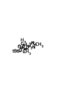 Cc1ncc(N2C[C@@H](C)N(C(=O)OC(C)(C)C)[C@@H](C)C2)cn1